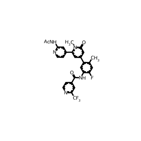 CC(=O)Nc1cc(-c2cc(-c3cc(NC(=O)c4ccnc(C(F)(F)F)c4)c(F)cc3C)cc(=O)n2C)ccn1